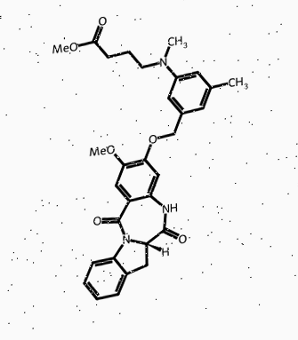 COC(=O)CCCN(C)c1cc(C)cc(COc2cc3c(cc2OC)C(=O)N2c4ccccc4C[C@H]2C(=O)N3)c1